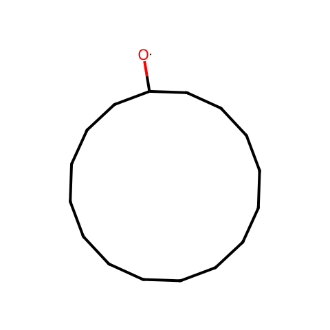 [O]C1CCCCCCCCCCCCCCC1